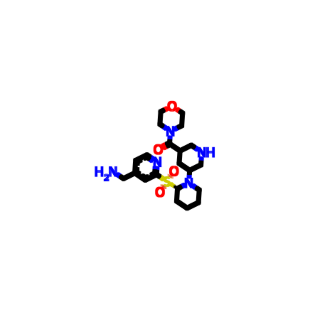 NCc1ccnc(S(=O)(=O)[C@@H]2CCCCN2C2CNCC(C(=O)N3CCOCC3)C2)c1